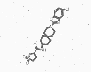 O=C(NC1CCC2(CC1)CCN(c1nc3cc(Cl)ccc3o1)CC2)[C@H]1CCS(=O)(=O)C1